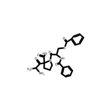 CC(N)C(=O)C1(C(=O)O)CCCN1C(=O)C(CSC(=O)c1ccccc1)NC(=O)c1ccccc1